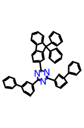 c1ccc(-c2cccc(-c3nc(-c4cccc(-c5ccccc5)c4)nc(-c4ccc5c(c4)C(c4ccccc4)(c4ccccc4)c4ccccc4-5)n3)c2)cc1